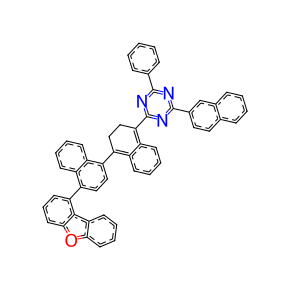 c1ccc(-c2nc(C3=c4ccccc4=C(c4ccc(-c5cccc6oc7ccccc7c56)c5ccccc45)CC3)nc(-c3ccc4ccccc4c3)n2)cc1